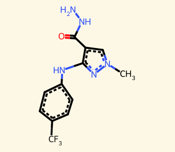 Cn1cc(C(=O)NN)c(Nc2ccc(C(F)(F)F)cc2)n1